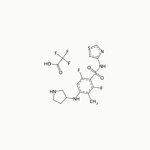 Cc1c(NC2CCNC2)cc(F)c(S(=O)(=O)Nc2cscn2)c1F.O=C(O)C(F)(F)F